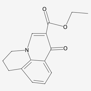 CCOC(=O)c1cn2c3c(cccc3c1=O)CCC2